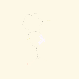 OC(=S)c1nc2c(S)cccc2s1